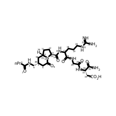 CCCC(=O)NC[C@H]1CC(=O)N2[C@@H](CC[C@H]2C(=O)NC(CCCNC(=N)N)C(=O)NCC(=O)N[C@@H](CC(=O)O)C(N)=O)C1